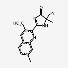 Cc1ccc2cc(C(=O)O)c(C3=NC(=O)C(C)(C(C)C)N3)nc2c1